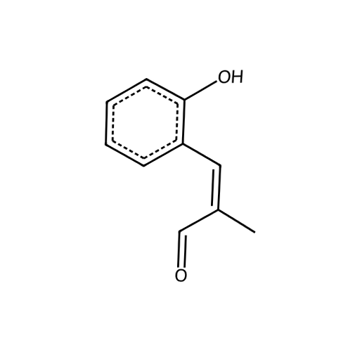 CC(C=O)=Cc1ccccc1O